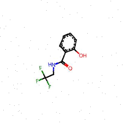 O=C(NCC(F)(F)F)c1ccccc1O